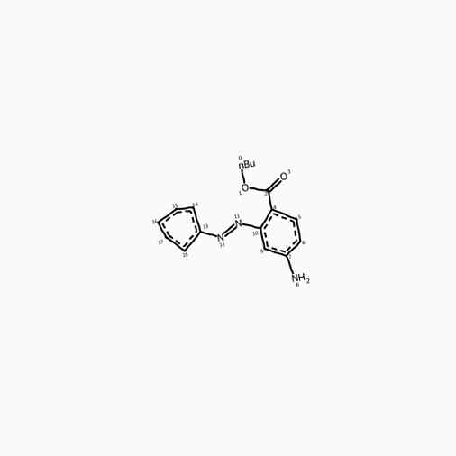 CCCCOC(=O)c1ccc(N)cc1N=Nc1ccccc1